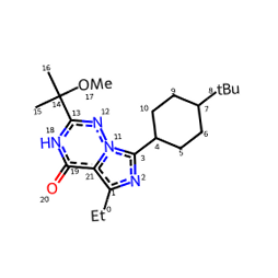 CCc1nc(C2CCC(C(C)(C)C)CC2)n2nc(C(C)(C)OC)[nH]c(=O)c12